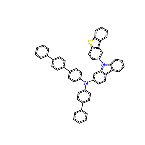 c1ccc(-c2ccc(-c3ccc(N(c4ccc(-c5ccccc5)cc4)c4ccc5c6ccccc6n(-c6ccc7sc8ccccc8c7c6)c5c4)cc3)cc2)cc1